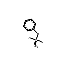 C=P(Cl)(Cl)Oc1ccccc1